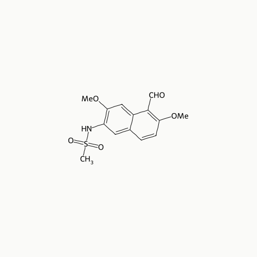 COc1cc2c(C=O)c(OC)ccc2cc1NS(C)(=O)=O